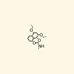 CCOc1cc(OCC)c2ccccc2c1OC(=O)NC